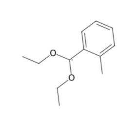 CCO[C](OCC)c1ccccc1C